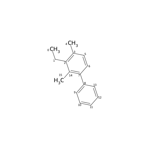 CCc1c(C)ccc(-c2ccccc2)c1C